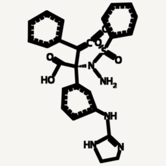 NN([C@](C(=O)O)(C(=C=O)c1ccccc1)c1cccc(NC2=NCCN2)c1)S(=O)(=O)c1ccccc1